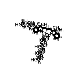 CCN1/C(=C\C=C\C2N(CC)c3ccccc3C2(C)C)C(C)(C)c2ccccc21.O=P(O)(O)F.O=P(O)(O)F.O=P(O)(O)F.O=P(O)(O)F.O=P(O)(O)F.O=P(O)(O)F